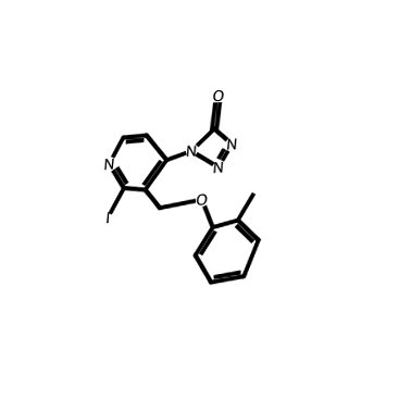 Cc1ccccc1OCc1c(N2N=NC2=O)ccnc1I